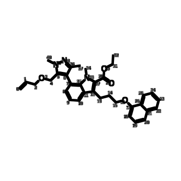 C=CCOCc1c(-c2cccc3c(CCCOc4cccc5ccccc45)c(C(=O)OCC)n(C)c23)c(C)nn1C